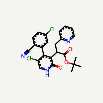 CC(C)(C)OC(=O)C(Cc1ccccn1)c1c(-c2cc(Cl)ccc2C#N)c(Cl)c[nH]c1=O